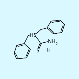 NC(=S)[SH](Cc1ccccc1)Cc1ccccc1.[Ti]